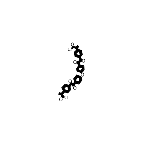 CC(C(=O)Cl)c1ccc(C(=O)C(=O)c2ccc(Oc3ccc(C(=O)C(=O)c4ccc(C(C)C(=O)Cl)cc4)cc3)cc2)cc1